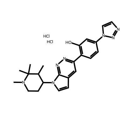 CC1C(n2ccc3cc(-c4ccc(-n5ccnn5)cc4O)nnc32)CCN(C)C1(C)C.Cl.Cl